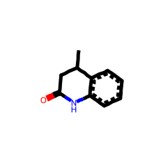 CC1CC(=O)Nc2ccccc21